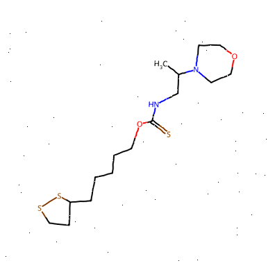 CC(CNC(=S)OCCCCCC1CCSS1)N1CCOCC1